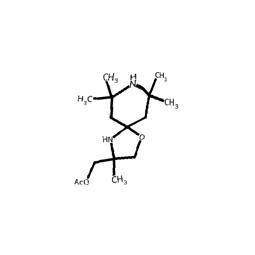 CC(=O)OCC1(C)COC2(CC(C)(C)NC(C)(C)C2)N1